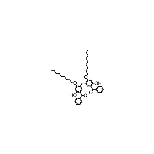 CCCCCCCCCOc1cc(O)c(C(=O)c2ccccc2)cc1Cc1cc(C(=O)c2ccccc2)c(O)cc1OCCCCCCCCC